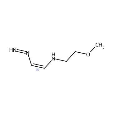 COCCN/C=C\N=N